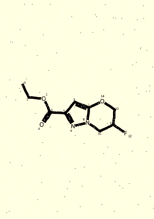 CCOC(=O)c1cc2n(n1)CC(F)CO2